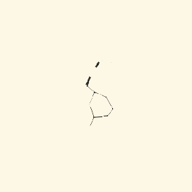 C=C=[C]C1CCCC(C)C1